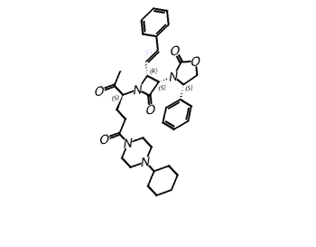 CC(=O)[C@H](CCC(=O)N1CCN(C2CCCCC2)CC1)N1C(=O)[C@@H](N2C(=O)OC[C@@H]2c2ccccc2)[C@H]1/C=C/c1ccccc1